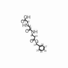 O=C(O)CNCC(=O)NCCC(=O)OCc1ccccc1